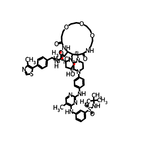 Cc1cnc(Nc2ccc(N3CCN([C@@H]4C(=O)NCCOCCOCCOCCC(=O)NC(C(C)(C)C)C4N4C[C@H](O)C[C@H]4C(=O)NCc4ccc(-c5scnc5C)cc4)CC3)cc2)nc1Nc1cccc(S(=O)(=O)NC(C)(C)C)c1